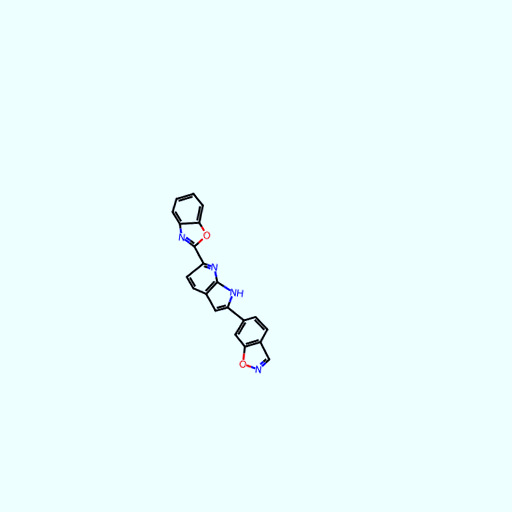 c1ccc2oc(-c3ccc4cc(-c5ccc6cnoc6c5)[nH]c4n3)nc2c1